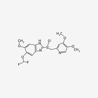 COc1cnc(C[S+]([O-])c2nc3cc(OC(F)F)c(OC)cc3[nH]2)cc1OC